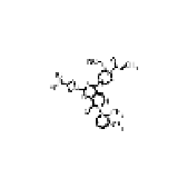 C=CC(=O)N1CCN(c2nc(N3CC(N(CC)CC)C3)nc3c(=O)n(-c4cccc(C(F)(F)F)c4C)ncc23)C[C@@H]1CC#N